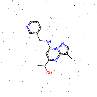 Cc1cnn2c(NCc3cccnc3)cc(C(C)O)nc12